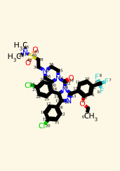 CCOc1cc(C(F)(F)F)ccc1C1=NC(c2ccc(Cl)cc2)C(c2ccc(Cl)cc2)N1C(=O)N1CCN(CCS(=O)(=O)N(C)C)CC1